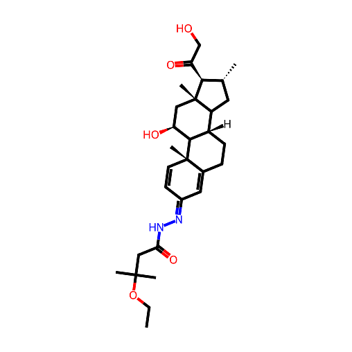 CCOC(C)(C)CC(=O)N/N=C1\C=C[C@@]2(C)C(=C1)CC[C@@H]1C2[C@@H](O)C[C@@]2(C)C1C[C@@H](C)[C@@H]2C(=O)CO